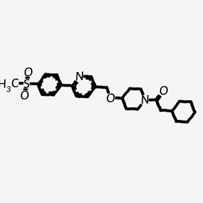 CS(=O)(=O)c1ccc(-c2ccc(COC3CCN(C(=O)CC4CCCCC4)CC3)cn2)cc1